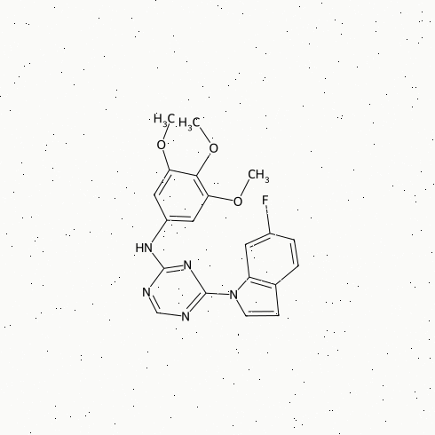 COc1cc(Nc2ncnc(-n3ccc4ccc(F)cc43)n2)cc(OC)c1OC